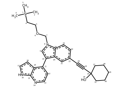 C[Si](C)(C)CCOCn1cc(-c2ccnc3[nH]ccc23)c2cc(C#CC3(O)CCCCC3)ccc21